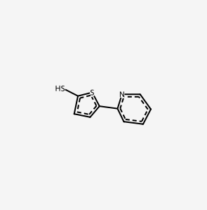 Sc1ccc(-c2ccccn2)s1